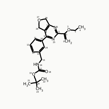 C=C(OCC)c1nc2c(c(-c3cccc(CNC(=O)OC(C)(C)C)c3)n1)COC2